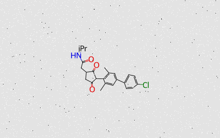 Cc1cc(-c2ccc(Cl)cc2)cc(C)c1C1C(=O)CC(CC(=O)NC(C)C)C1=O